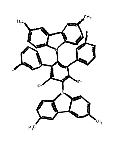 Cc1ccc2c(c1)c1cc(C)ccc1n2-c1c(-c2cccc(F)c2)c(C(C)C)c(-n2c3ccc(C)cc3c3cc(C)ccc32)c(C(C)C)c1-c1cccc(F)c1